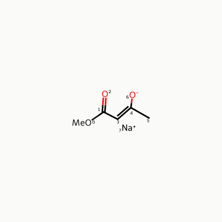 COC(=O)C=C(C)[O-].[Na+]